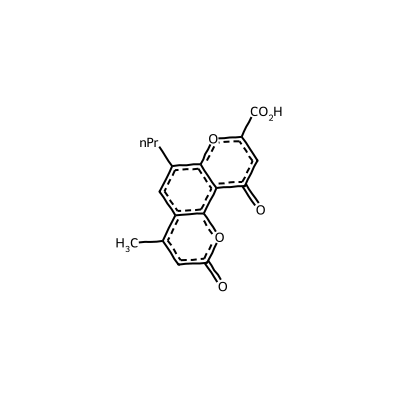 CCCc1cc2c(C)cc(=O)oc2c2c(=O)cc(C(=O)O)oc12